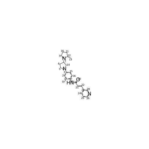 Cc1cc(N2CCC(N3CCCC3C)C2)ccc1NC(=O)/C=C/c1cccnc1